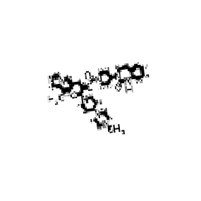 Cc1cc(CC(OC(=O)N2CCC(N3CCc4ccccc4NC3=O)CC2)C(=O)N2CCC(N3CCN(C)CC3)CC2)cn2cncc12